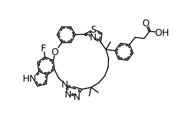 CC1(C)CCCCC(C)(c2cccc(CCC(=O)O)c2)c2csc(n2)-c2cccc(c2)Oc2c(F)cc3[nH]ccc3c2Cn2cc1nn2